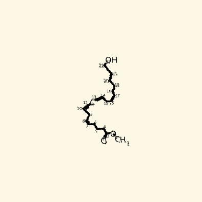 COC(=O)CCC/C=C\C/C=C\C/C=C\C/C=C\CCCCCO